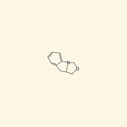 [CH]1OCN2c3ccccc3CC12